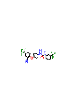 N#Cc1cc(C(F)(F)F)ccc1OC1CCC(NC(=O)Nc2cccc(C(F)(F)F)c2)CC1